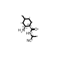 CC1CC[C@@H](C(=O)NC(C)C#N)[C@@H](N)C1